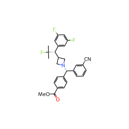 COC(=O)c1ccc([C@@H](c2cccc(C#N)c2)N2CC([C@@H](c3cc(F)cc(F)c3)C(C)(C)F)C2)cc1